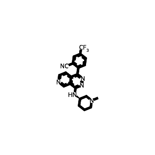 CN1CCC[C@@H](Nc2nnc(-c3ccc(C(F)(F)F)cc3C#N)c3ccncc23)C1